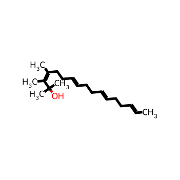 CC=CCCC=CCCC=CCCC(C)=C(C)C(C)(C)O